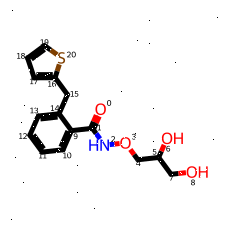 O=C(NOCC(O)CO)c1ccccc1Cc1cccs1